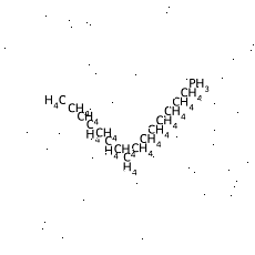 C.C.C.C.C.C.C.C.C.C.C.C.C.C.C.P